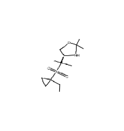 CCC1(S(=O)(=O)C(C)(C)[C@H]2COC(C)(C)N2)CC1